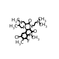 Cc1c(Cl)cc2c3c(c(=O)n(C)c2c1F)N(CCN(C)C)C(=O)C1CN(C)C(C)CN31